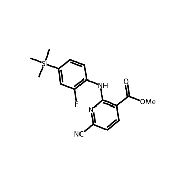 COC(=O)c1ccc(C#N)nc1Nc1ccc([Si](C)(C)C)cc1F